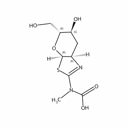 CN(C(=O)O)C1=N[C@@H]2C[C@H](O)[C@@H](CO)O[C@@H]2S1